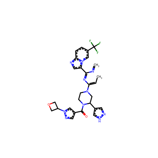 C=N/C(=N\C(=C/C)N1CCN(C(=O)c2cnn(C3COC3)c2)C(c2cn[nH]c2)C1)c1cnc2ccc(C(F)(F)F)cn12